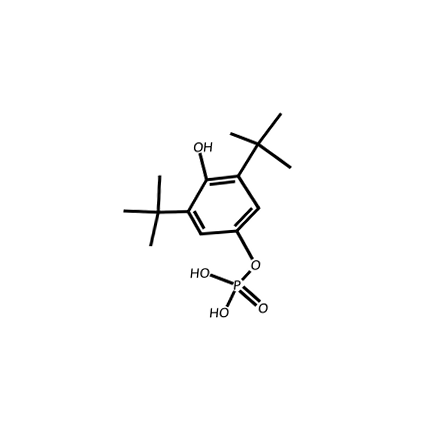 CC(C)(C)c1cc(OP(=O)(O)O)cc(C(C)(C)C)c1O